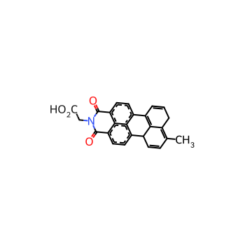 CC1=C2CC=CC3=C2C(C=C1)c1ccc2c4c(ccc3c14)C(=O)N(CC(=O)O)C2=O